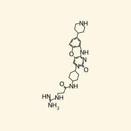 N=C(N)NCCC(=O)NC1CCC(n2cc3c(nc2=O)Nc2cc(C4CCNCC4)ccc2O3)CC1